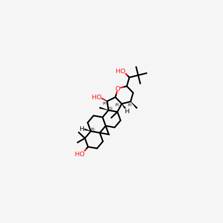 C[C@@H]1CC(C(O)C(C)(C)C)OC2[C@H]1C1(C)CCC34CC35CCC(O)C(C)(C)[C@@H]5CCC4[C@]1(C)[C@H]2O